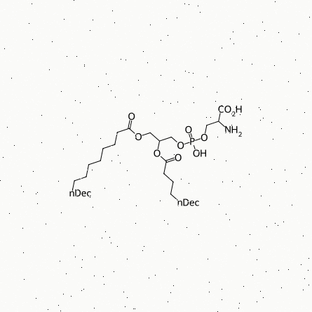 CCCCCCCCCCCCCCCCCC(=O)OCC(COP(=O)(O)OCC(N)C(=O)O)OC(=O)CCCCCCCCCCCCC